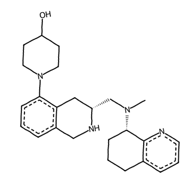 CN(C[C@H]1Cc2c(cccc2N2CCC(O)CC2)CN1)[C@H]1CCCc2cccnc21